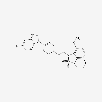 COc1ccc2c3c1N(CCN1CC=C(c4c[nH]c5cc(F)ccc45)CC1)S(=O)(=O)N3CCC2